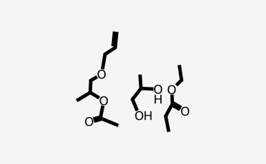 C=CCOCC(C)OC(C)=O.CC(O)CO.CCOC(=O)CC